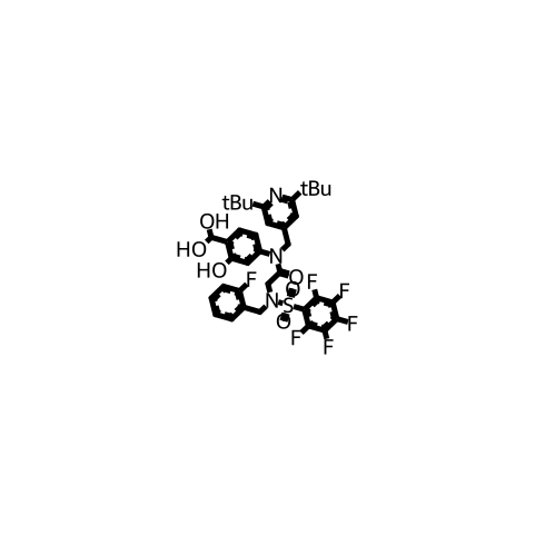 CC(C)(C)c1cc(CN(C(=O)CN(Cc2ccccc2F)S(=O)(=O)c2c(F)c(F)c(F)c(F)c2F)c2ccc(C(O)O)c(O)c2)cc(C(C)(C)C)n1